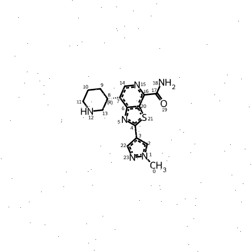 Cn1cc(-c2nc3c([C@H]4CCCNC4)cnc(C(N)=O)c3s2)cn1